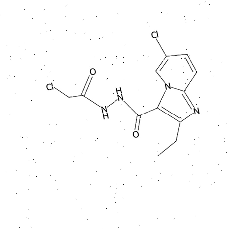 CCc1nc2ccc(Cl)cn2c1C(=O)NNC(=O)CCl